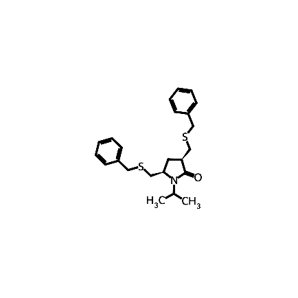 CC(C)N1C(=O)[C@H](CSCc2ccccc2)C[C@@H]1CSCc1ccccc1